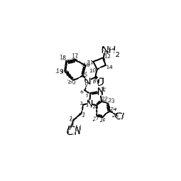 N#CCCCn1c(CN(C(=O)C2CC(N)C2)c2ccccc2)nc2cc(Cl)ccc21